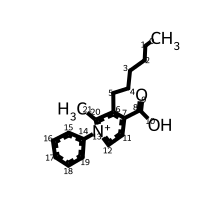 CCCCCCc1c(C(=O)O)cc[n+](-c2ccccc2)c1C